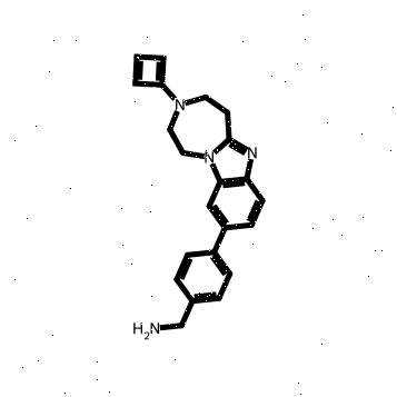 NCc1ccc(-c2ccc3nc4n(c3c2)CCN(C2=CC=C2)CC4)cc1